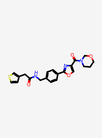 O=C(Cc1ccsc1)NCc1ccc(-c2nc(C(=O)N3CCCOC3)co2)cc1